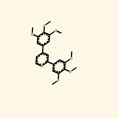 COc1cc(-c2ccnc(-c3cc(OC)c(OC)c(OC)c3)c2)cc(OC)c1OC